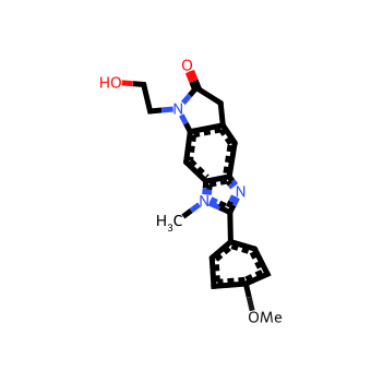 COc1ccc(-c2nc3cc4c(cc3n2C)N(CCO)C(=O)C4)cc1